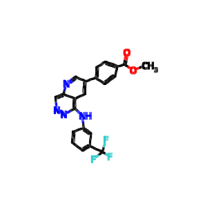 COC(=O)c1ccc(-c2cnc3cnnc(Nc4cccc(C(F)(F)F)c4)c3c2)cc1